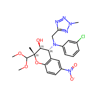 COC(OC)[C@@]1(C)Oc2ccc([N+](=O)[O-])cc2[C@@H](N(Cc2nnn(C)n2)c2cccc(Cl)c2)[C@@H]1O